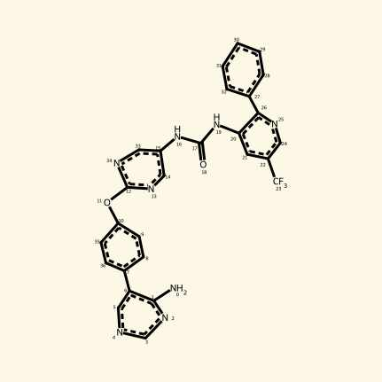 Nc1ncncc1-c1ccc(Oc2ncc(NC(=O)Nc3cc(C(F)(F)F)cnc3-c3ccccc3)cn2)cc1